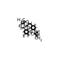 COc1cc(C=C2O[C@@H](C)[C@H]3COC[C@@H](c4ccc(F)c(F)c4)N3C2=O)ccc1-n1cnc(C)c1